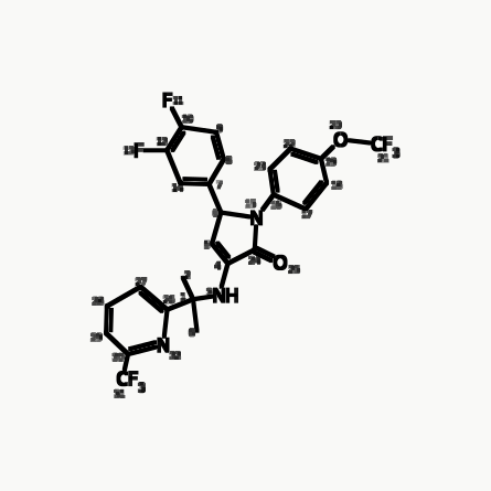 CC(C)(NC1=CC(c2ccc(F)c(F)c2)N(c2ccc(OC(F)(F)F)cc2)C1=O)c1cccc(C(F)(F)F)n1